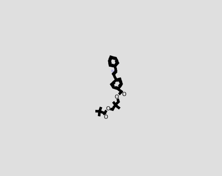 CC(C)(COC(=O)c1ccc(/C=C/c2ccccc2)cc1)COC(=O)C(C)(C)C